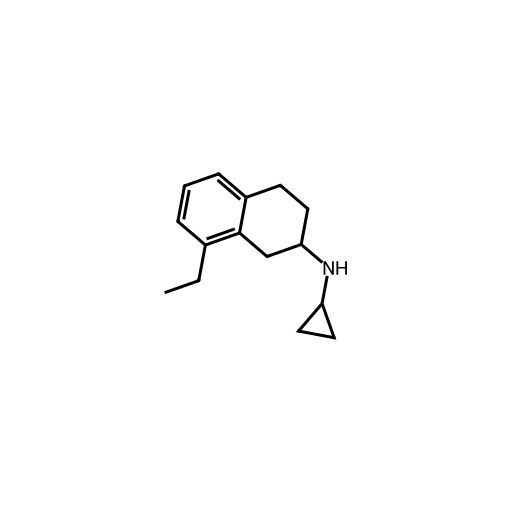 CCc1cccc2c1CC(NC1CC1)CC2